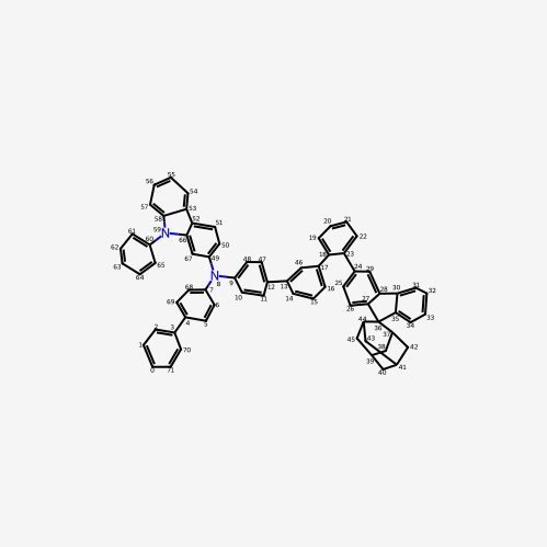 c1ccc(-c2ccc(N(c3ccc(-c4cccc(-c5ccccc5-c5ccc6c(c5)-c5ccccc5C65C6CC7CC(C6)CC5C7)c4)cc3)c3ccc4c5ccccc5n(-c5ccccc5)c4c3)cc2)cc1